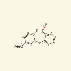 COC1=CC2Cc3ccccc3C(=O)CC2C=C1